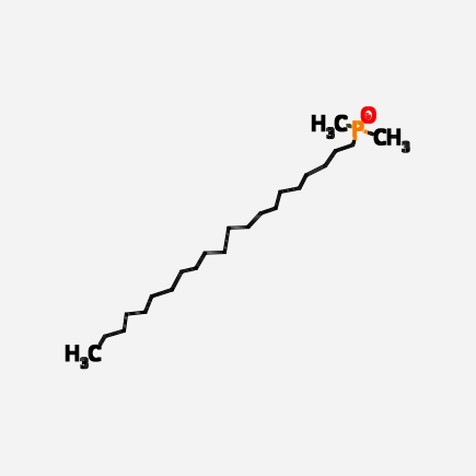 CCCCCCCCCCCCCCCCCCCCCP(C)(C)=O